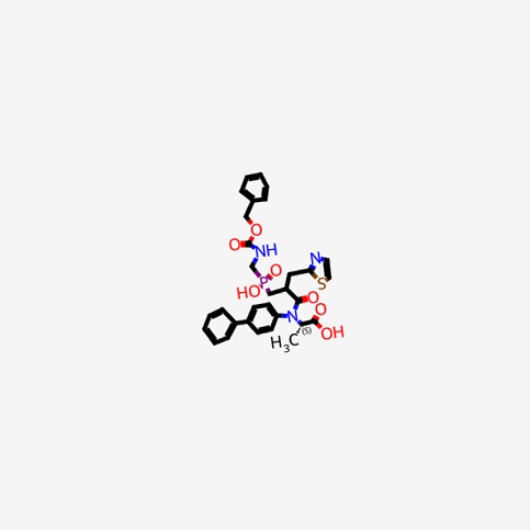 C[C@@H](C(=O)O)N(C(=O)C(Cc1nccs1)CP(=O)(O)CNC(=O)OCc1ccccc1)c1ccc(-c2ccccc2)cc1